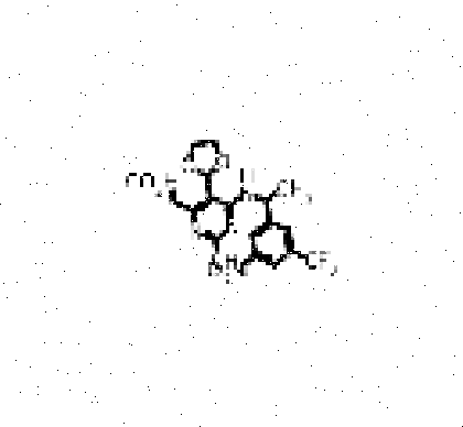 Cc1nc(CC(=O)O)c(C2OCCO2)c(NC(C)c2cc([N+](=O)[O-])cc(C(F)(F)F)c2)n1